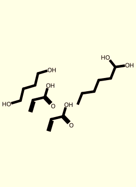 C=CC(=O)O.C=CC(=O)O.CCCCCC(O)O.OCCCCO